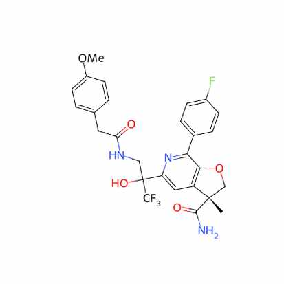 COc1ccc(CC(=O)NCC(O)(c2cc3c(c(-c4ccc(F)cc4)n2)OC[C@]3(C)C(N)=O)C(F)(F)F)cc1